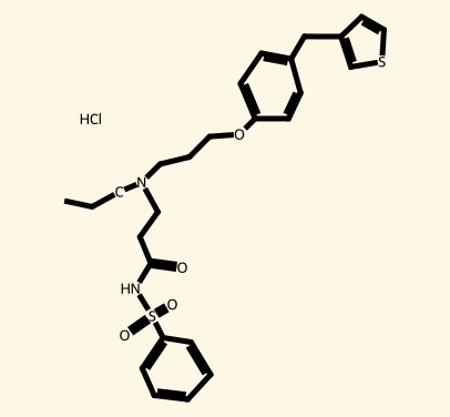 CCCN(CCCOc1ccc(Cc2ccsc2)cc1)CCC(=O)NS(=O)(=O)c1ccccc1.Cl